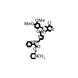 COc1ccc([C@H](Cc2c(Cl)cncc2Cl)OC(=O)c2ccc(CNC(C(=O)OC[C@@H]3CCCCN3C)c3ccccc3)s2)cc1OC